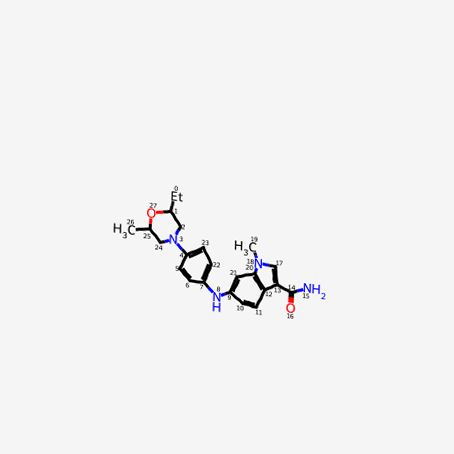 CCC1CN(c2ccc(Nc3ccc4c(C(N)=O)cn(C)c4c3)cc2)CC(C)O1